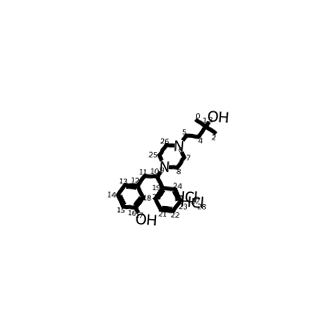 CC(C)(O)CCN1CCN(C(Cc2cccc(O)c2)c2ccccc2)CC1.Cl.Cl